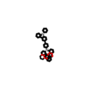 c1ccc(-n2c3ccccc3c3cc(-c4ccc(N(c5ccccc5-c5cccc6cccc(C7CCCCC7)c56)c5cccc6sc7ccccc7c56)cc4)ccc32)cc1